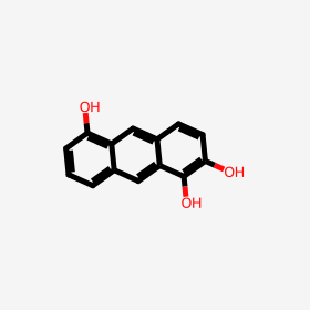 Oc1ccc2cc3c(O)cccc3cc2c1O